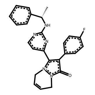 C[C@H](Nc1nccc(-c2c(-c3ccc(F)cc3)c(=O)n3n2CC=CC3)n1)c1ccccc1